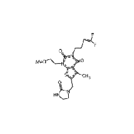 COCCn1c(=O)n(CCC=C(F)F)c(=O)c2c(C)c(CN3CCNC3=O)sc21